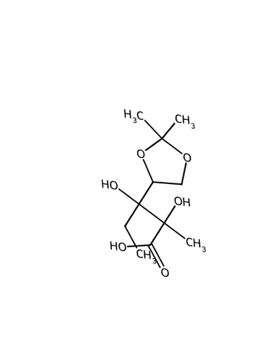 CCC(O)(C1COC(C)(C)O1)C(C)(O)C(=O)O